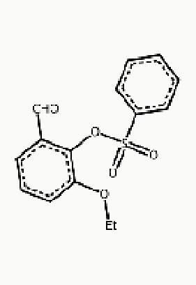 CCOc1cccc(C=O)c1OS(=O)(=O)c1ccccc1